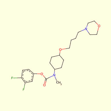 CN(C(=O)Oc1ccc(F)c(F)c1)C1CCC(OCCCCN2CCOCC2)CC1